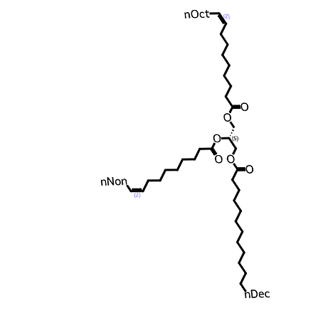 CCCCCCCC/C=C\CCCCCCCC(=O)OC[C@H](COC(=O)CCCCCCCCCCCCCCCCCCCCC)OC(=O)CCCCCCC/C=C\CCCCCCCCC